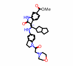 COC(=O)c1ccc2c(c1)NC(=O)/C2=C(\Nc1ccc2c(c1)CCN2C(=O)CN1CCOCC1)C1CC2CCCC2C1